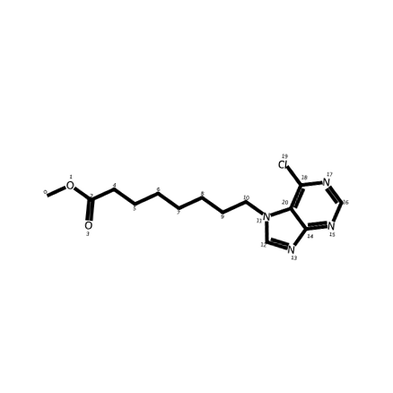 COC(=O)CCCCCCCn1cnc2ncnc(Cl)c21